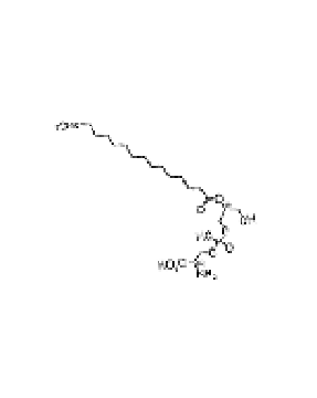 CCCCCCCCCCCCCCCCCCCCCCCC(=O)O[C@H](CO)COP(=O)(O)OC[C@H](N)C(=O)O